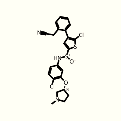 CN1CC[C@@H](Oc2cc(N[S+]([O-])c3cc(-c4ccccc4CC#N)c(Cl)s3)ccc2Cl)C1